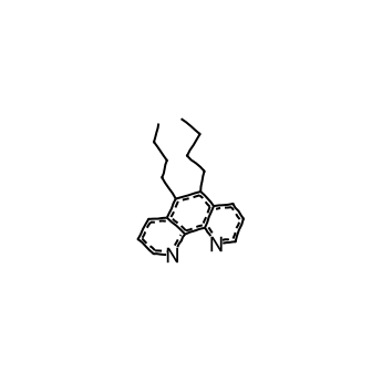 CCCCc1c(CCCC)c2cccnc2c2ncccc12